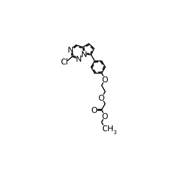 CCOC(=O)COCCOc1ccc(-c2ccc3cnc(Cl)nn23)cc1